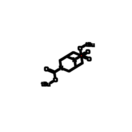 CC(C)(C)OC(=O)N1CC2CC(=O)CC(C1)N2C(=O)OC(C)(C)C